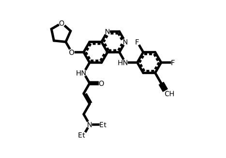 C#Cc1cc(Nc2ncnc3cc(OC4CCOC4)c(NC(=O)C=CCN(CC)CC)cc23)c(F)cc1F